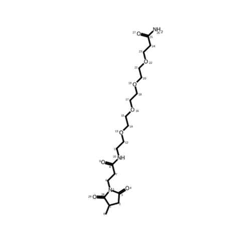 CC1CC(=O)N(CCC(=O)NCCOCCOCCOCCOCCC(N)=O)C1=O